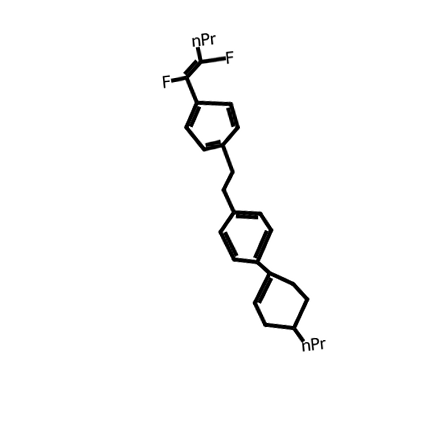 CCCC(F)=C(F)c1ccc(CCc2ccc(C3=CCC(CCC)CC3)cc2)cc1